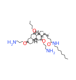 CCCCCCCCNC(=O)CC[C@@H](C)[C@H]1CC[C@H]2C3[C@H](OCCCC)CC4C[C@H](OCCCN)CC[C@]4(C)[C@H]3C[C@H](OCCCN)[C@]12C